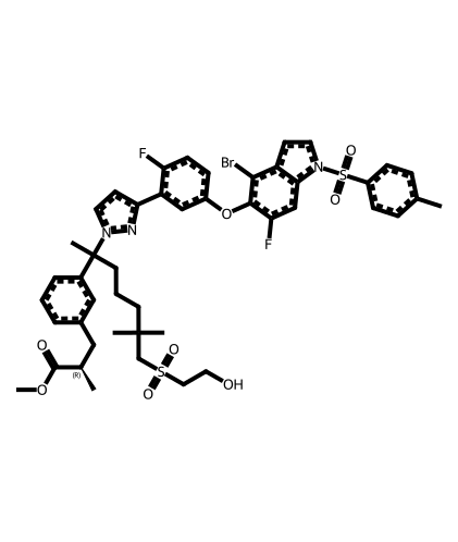 COC(=O)[C@H](C)Cc1cccc(C(C)(CCCC(C)(C)CS(=O)(=O)CCO)n2ccc(-c3cc(Oc4c(F)cc5c(ccn5S(=O)(=O)c5ccc(C)cc5)c4Br)ccc3F)n2)c1